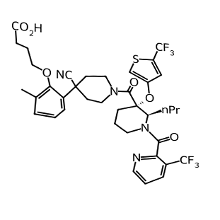 CCC[C@H]1N(C(=O)c2ncccc2C(F)(F)F)CCC[C@@]1(Oc1csc(C(F)(F)F)c1)C(=O)N1CCC(C#N)(c2cccc(C)c2OCCCC(=O)O)CC1